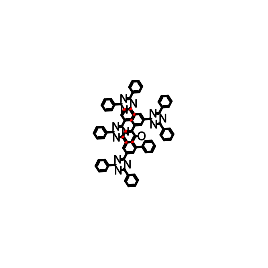 c1ccc(-c2nc(-c3ccccc3)nc(-c3cc(-c4nc(-c5ccccc5)nc(-c5ccccc5)n4)cc(-c4ccccc4Oc4ccccc4-c4cc(-c5nc(-c6ccccc6)nc(-c6ccccc6)n5)cc(-c5nc(-c6ccccc6)nc(-c6ccccc6)n5)c4)c3)n2)cc1